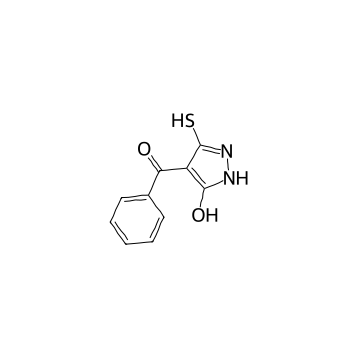 O=C(c1ccccc1)c1c(S)n[nH]c1O